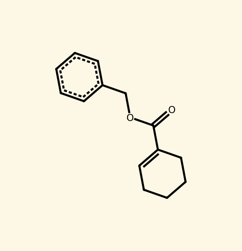 O=C(OCc1ccccc1)C1=CCCCC1